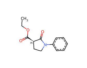 CCOC(=O)[C@@H]1CCN(c2ccccc2)C1=O